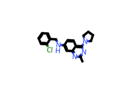 Cc1nc(N2CCCC2)c2ccc(NCc3ccccc3Cl)cc2n1